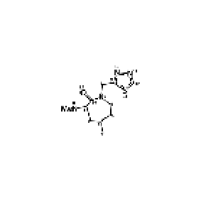 CNC1CC(C)CCN(Cc2nncs2)C1=O